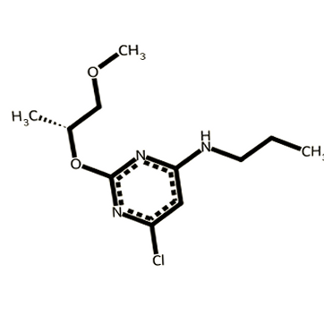 CCCNc1cc(Cl)nc(O[C@H](C)COC)n1